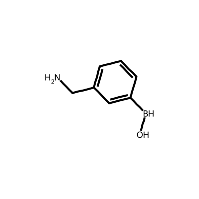 NCc1cccc(BO)c1